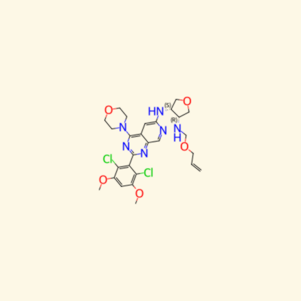 C=CCOCN[C@H]1COC[C@H]1Nc1cc2c(N3CCOCC3)nc(-c3c(Cl)c(OC)cc(OC)c3Cl)nc2cn1